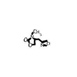 CCN1C(=O)OCC1Cc1cocn1